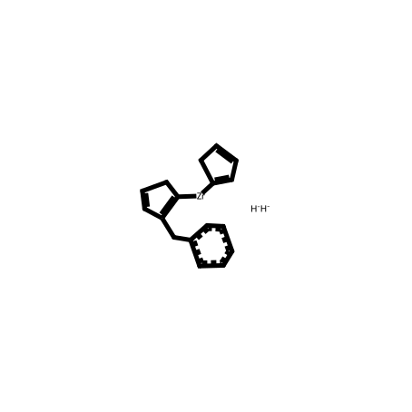 C1=CC[C]([Zr][C]2=C(Cc3ccccc3)C=CC2)=C1.[H-].[H-]